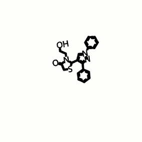 O=C1CSC(c2cn(-c3ccccc3)nc2-c2ccccc2)N1CCO